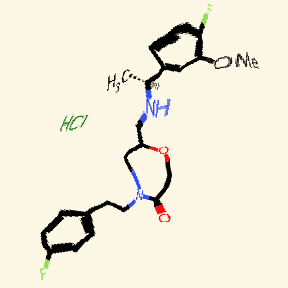 COc1cc([C@@H](C)NCC2CN(CCc3ccc(F)cc3)C(=O)CO2)ccc1F.Cl